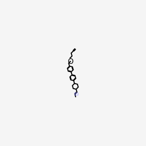 C#CCCCOCc1ccc(-c2ccc(C3CCC(/C=C/C)CC3)cc2)cc1